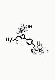 CC(C)CC1=CC(c2ccc(Cn3ccnc3C(C)(C)C)cc2)=C[SH]1S(=O)(=O)NC(=O)O